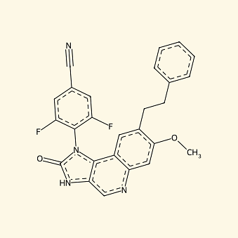 COc1cc2ncc3[nH]c(=O)n(-c4c(F)cc(C#N)cc4F)c3c2cc1CCc1ccccc1